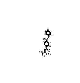 O=C(O)/C(O)=C/C(=O)c1ccc(NCc2ccccc2)cc1